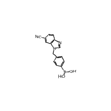 N#Cc1ccc2ncn(Cc3ccc(B(O)O)cc3)c2c1